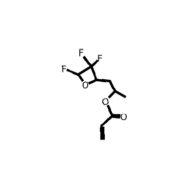 C=CC(=O)OC(C)CC1OC(F)C1(F)F